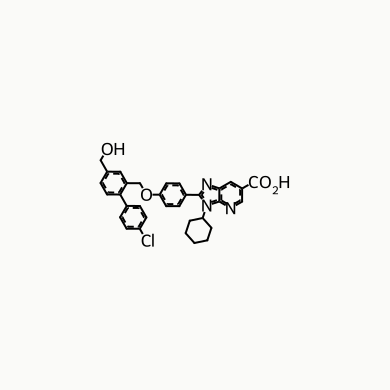 O=C(O)c1cnc2c(c1)nc(-c1ccc(OCc3cc(CO)ccc3-c3ccc(Cl)cc3)cc1)n2C1CCCCC1